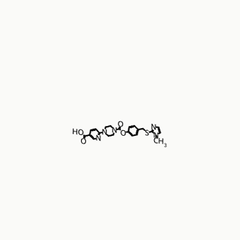 Cn1ccnc1SCc1ccc(OC(=O)N2CCN(c3ccc(C(=O)O)cn3)CC2)cc1